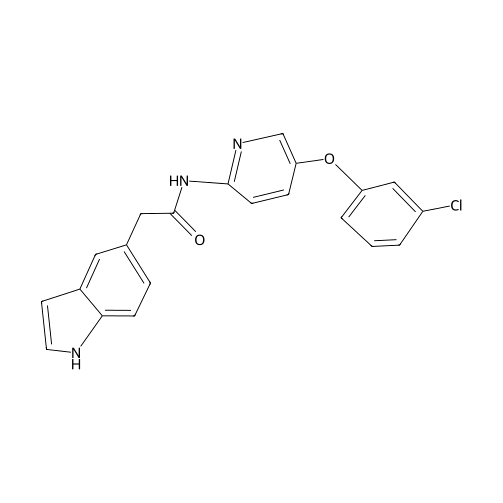 O=C(Cc1ccc2[nH]ccc2c1)Nc1ccc(Oc2cccc(Cl)c2)cn1